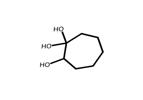 OC1CCCCCC1(O)O